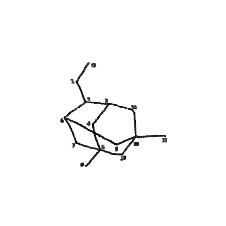 CCC1C2CC3(C)CC1CC(C)(C2)C3